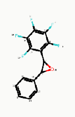 Fc1c(F)c(F)c(C2OC2c2ccccc2)c(F)c1F